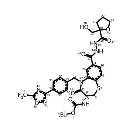 CC(C)(C)OC(=O)N[C@H]1CSc2ccc(C(=O)NNC(=O)C3(CO)CCCO3)cc2N(Cc2ccc(-c3noc(C(F)(F)F)n3)cc2)C1=O